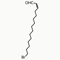 O=C/C=C\CCCCCCCCCCCCBr